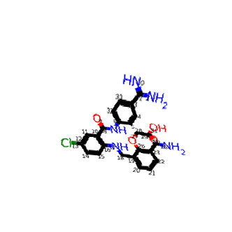 N=C(N)c1ccc(NC(=O)c2cc(Cl)ccc2NCc2cccc(CN)c2OCC(=O)O)cc1